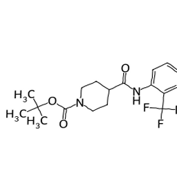 CC(C)(C)OC(=O)N1CCC(C(=O)Nc2ccccc2C(F)(F)F)CC1